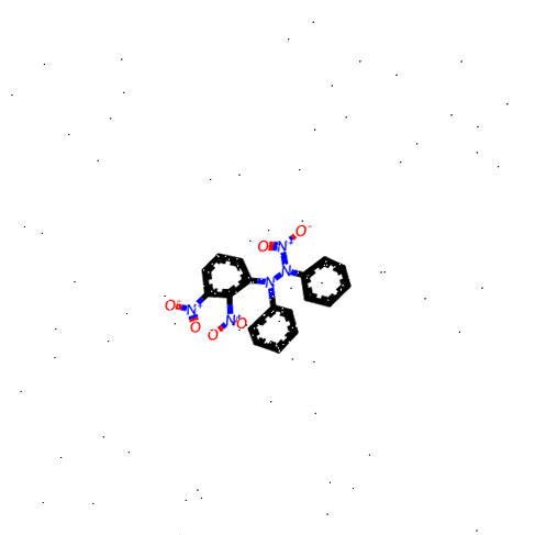 O=[N+]([O-])c1cccc(N(c2ccccc2)N(c2ccccc2)[N+](=O)[O-])c1[N+](=O)[O-]